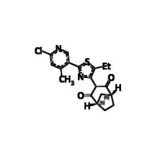 CCc1sc(-c2cnc(Cl)cc2C)nc1C1C(=O)[C@@H]2CC[C@@H](C2)C1=O